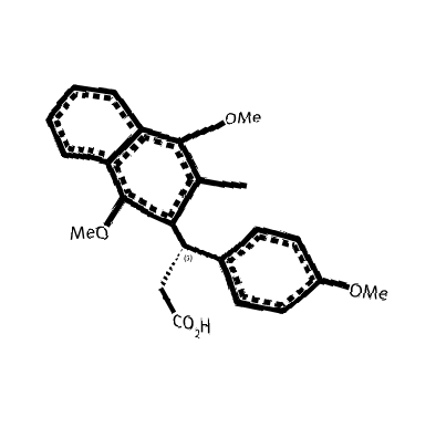 COc1ccc([C@H](CC(=O)O)c2c(C)c(OC)c3ccccc3c2OC)cc1